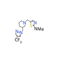 CNc1ncc(CN2CCCC(Cn3cc(C(F)(F)F)cn3)C2)s1